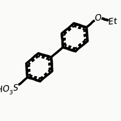 CCOc1ccc(-c2ccc(S(=O)(=O)O)cc2)cc1